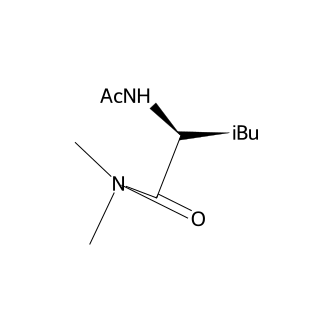 CC[C@H](C)[C@H](NC(C)=O)C(=O)N(C)C